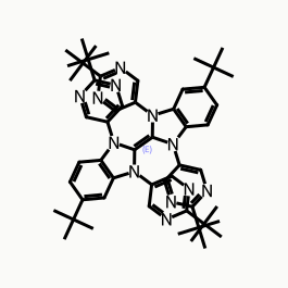 CC(C)(C)c1ccc2c(c1)N(c1cnc(C(C)(C)C)nc1)/C(=C1\N(c3cnc(C(C)(C)C)nc3)c3ccc(C(C)(C)C)cc3N1c1cnc(C(C)(C)C)nc1)N2c1cnc(C(C)(C)C)nc1